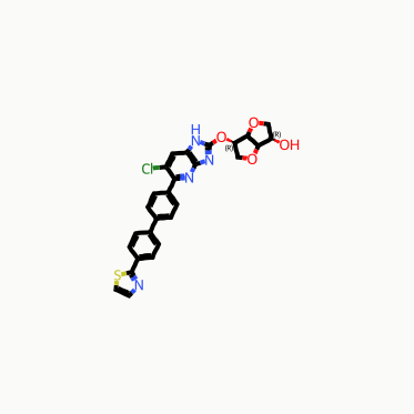 O[C@@H]1COC2C1OC[C@H]2Oc1nc2nc(-c3ccc(-c4ccc(-c5nccs5)cc4)cc3)c(Cl)cc2[nH]1